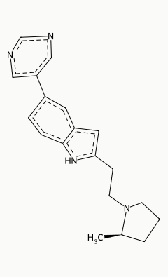 C[C@@H]1CCCN1CCc1cc2cc(-c3cncnc3)ccc2[nH]1